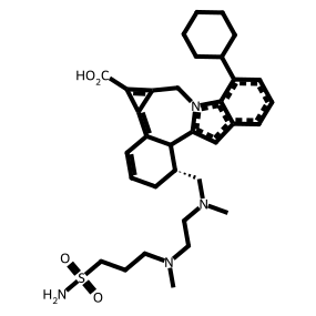 CN(CCCS(N)(=O)=O)CCN(C)C[C@@H]1CC=CC2=C3C(=C3C(=O)O)Cn3c(cc4cccc(C5CCCCC5)c43)C21